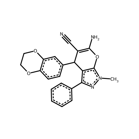 Cn1nc(-c2ccccc2)c2c1OC(N)=C(C#N)C2c1ccc2c(c1)OCCO2